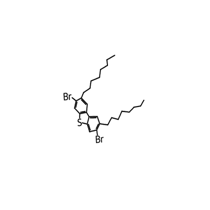 CCCCCCCCc1cc2c(cc1Br)sc1cc(Br)c(CCCCCCCC)cc12